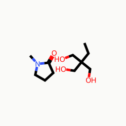 CCC(CO)(CO)CO.CN1CCCC1=O